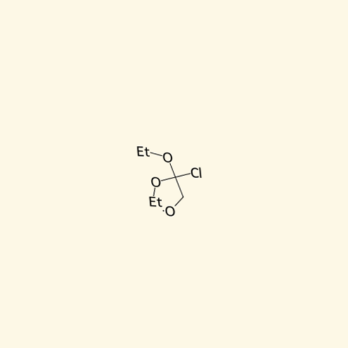 CCOC(Cl)(C[O])OCC